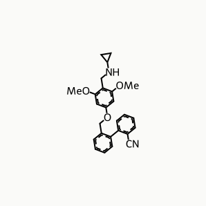 COc1cc(OCc2ccccc2-c2ccccc2C#N)cc(OC)c1CNC1CC1